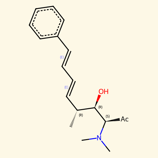 CC(=O)[C@H]([C@H](O)[C@H](C)/C=C/C=C/c1ccccc1)N(C)C